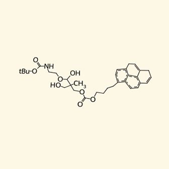 CC(C)(C)OC(=O)NCCOC(O)C(C)(CO)COC(=O)OCCCCc1ccc2c3c4c(ccc13)C=CCC4=CC2